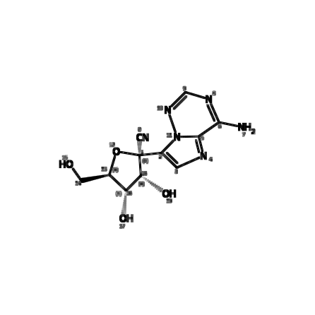 N#C[C@@]1(c2cnc3c(N)ncnn23)O[C@H](CO)[C@@H](O)[C@H]1O